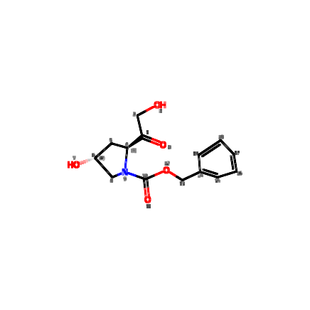 O=C(CO)[C@@H]1C[C@@H](O)CN1C(=O)OCc1ccccc1